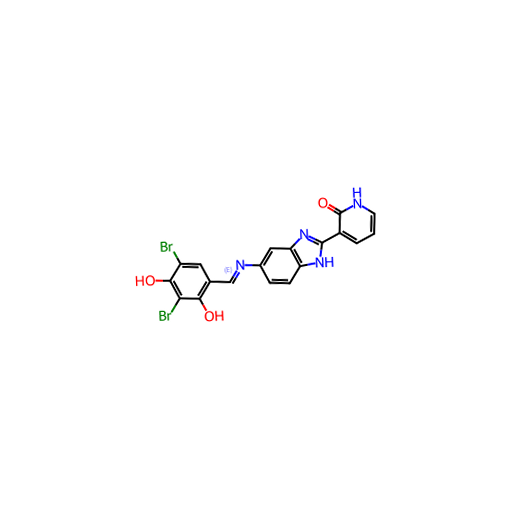 O=c1[nH]cccc1-c1nc2cc(/N=C/c3cc(Br)c(O)c(Br)c3O)ccc2[nH]1